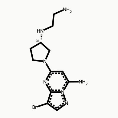 NCCN[C@H]1CCN(c2cc(N)n3ncc(Br)c3n2)C1